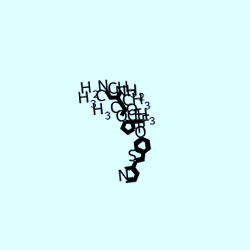 CC(C)(N)CC(N)C(C)(C)C(=O)OC1CCC(Oc2ccc3cc(-c4cccnc4)sc3c2)C1(C)C(F)(F)F